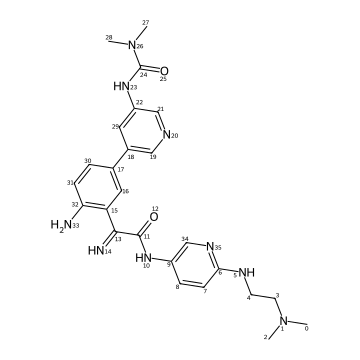 CN(C)CCNc1ccc(NC(=O)C(=N)c2cc(-c3cncc(NC(=O)N(C)C)c3)ccc2N)cn1